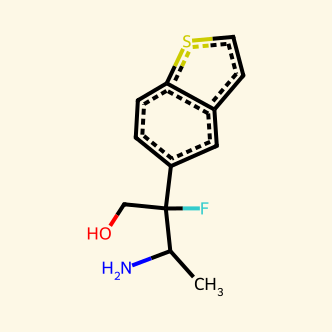 CC(N)C(F)(CO)c1ccc2sccc2c1